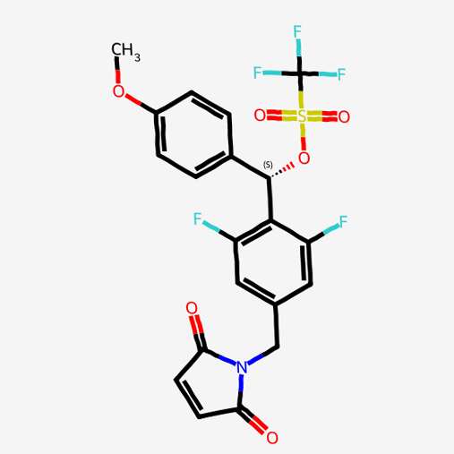 COc1ccc([C@H](OS(=O)(=O)C(F)(F)F)c2c(F)cc(CN3C(=O)C=CC3=O)cc2F)cc1